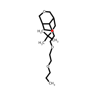 CCCOCCOCCN1CC2COCC(C1)C2OC(C)(C)C